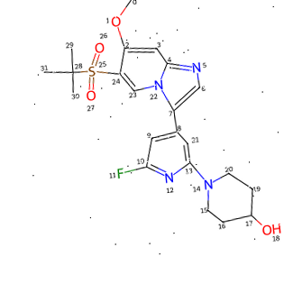 COc1cc2ncc(-c3cc(F)nc(N4CCC(O)CC4)c3)n2cc1S(=O)(=O)C(C)(C)C